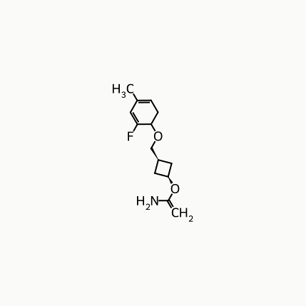 C=C(N)O[C@H]1C[C@@H](COC2CC=C(C)C=C2F)C1